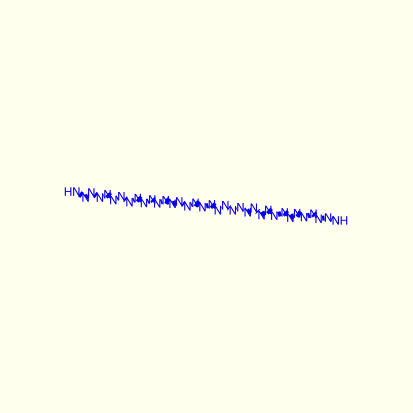 N=N/N=N/N=N/N=N/N=N/N=N/N=N/N=N/N=N/N=N/N=N/N=N/N=N/N=N/N=N/N=N/N=N/N=N